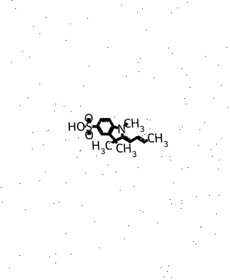 CC=CC=C1N(C)c2ccc(S(=O)(=O)O)cc2C1(C)C